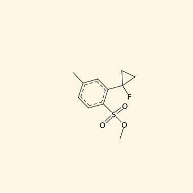 COS(=O)(=O)c1ccc(C)cc1C1(F)CC1